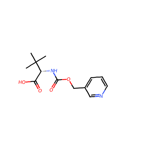 CC(C)(C)[C@H](NC(=O)OCc1cccnc1)C(=O)O